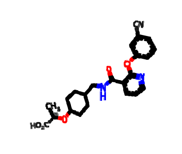 C[C@@H](OC1CCC(CNC(=O)c2cccnc2Oc2cccc(C#N)c2)CC1)C(=O)O